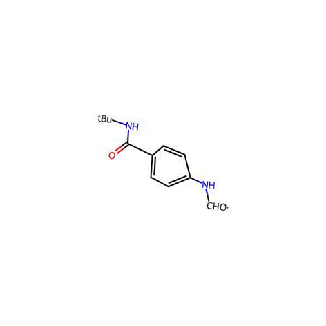 CC(C)(C)NC(=O)c1ccc(N[C]=O)cc1